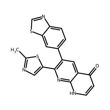 Cc1ncc(-c2nc3[nH]ccc(=O)c3cc2-c2ccc3ncsc3c2)s1